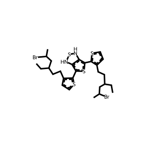 CCC(CCc1ccsc1-c1sc(-c2sccc2CCC(CC)CC(C)Br)c2c1NSN2)CC(C)Br